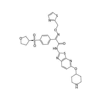 O=C(Nc1nc2ccc(OC3CCNCC3)nc2s1)/C(=N/OCc1nccs1)c1ccc(S(=O)(=O)[C@H]2CCOC2)cc1